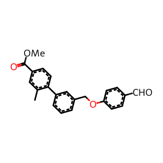 COC(=O)c1ccc(-c2cccc(COc3ccc(C=O)cc3)c2)c(C)c1